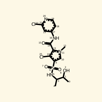 CC(O)C(C)NS(=O)(=O)c1cn(C)c(C(=O)Nc2ccnc(Cl)c2)c1Cl